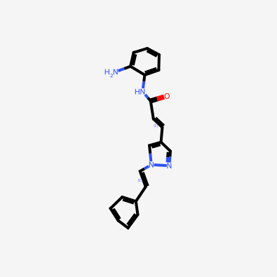 Nc1ccccc1NC(=O)/C=C/c1cnn(/C=C/c2ccccc2)c1